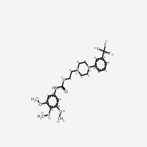 COc1cc(NC(=O)OCCN2CCN(c3cccc(C(F)(F)F)c3)CC2)cc(OC)c1OC